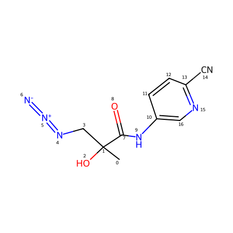 CC(O)(CN=[N+]=[N-])C(=O)Nc1ccc(C#N)nc1